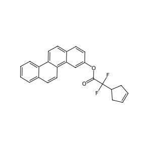 O=C(Oc1ccc2ccc3c4ccccc4ccc3c2c1)C(F)(F)C1CC=CC1